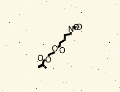 C=C(C)C(=O)OCCOC(=O)CCCCN=C=O